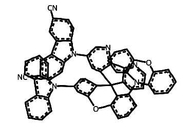 N#Cc1ccc2c(c1)c1cc(C#N)ccc1n2-c1cnc2c(c1)C1(c3ccc(-n4c5ccccc5c5ccccc54)cc3Oc3cccc(N4c5ccccc5Oc5ccccc54)c31)c1cccnc1-2